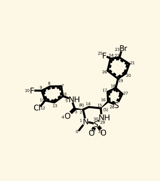 CN1[C@@H](C(=O)Nc2ccc(F)c(Cl)c2)C[C@@H](c2cc(-c3ccc(Br)c(F)c3)cs2)NS1(=O)=O